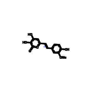 COc1cc(/C=C/c2cc(O)c(O)c(=O)o2)ccc1O